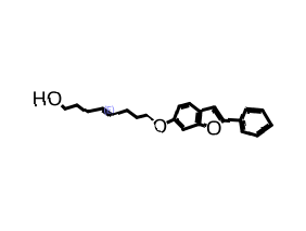 OCCC/C=C/CCCOc1ccc2cc(-c3ccccc3)oc2c1